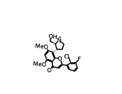 COc1cc(OC)c2c(=O)cc(-c3cccc(F)c3Cl)oc2c1[C@H]1CCN(C)[C@@H]1CO